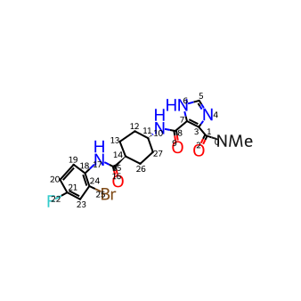 CNC(=O)c1nc[nH]c1C(=O)N[C@H]1CC[C@H](C(=O)Nc2ccc(F)cc2Br)CC1